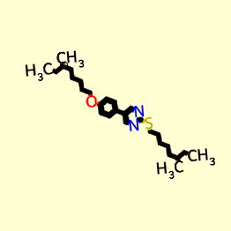 CCC(C)CCCCCSc1ncc(-c2ccc(OCCCCC[C@@H](C)CC)cc2)cn1